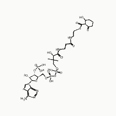 CC(C)(COP(=O)(O)OP(=O)(O)OC[C@H]1O[C@@H](n2cnc3c(N)ncnc32)[C@H](O)[C@@H]1OP(=O)(O)O)[C@@H](O)C(=O)NCCC(=O)NCCSC(=O)C1C(=O)CCCC1O